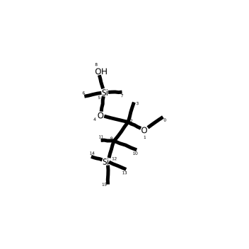 COC(C)(O[Si](C)(C)O)C(C)(C)[Si](C)(C)C